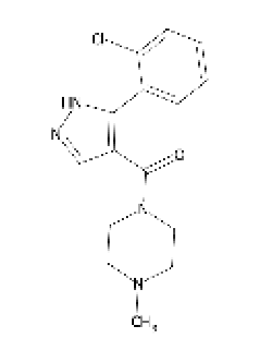 CN1CCN(C(=O)c2cn[nH]c2-c2ccccc2Cl)CC1